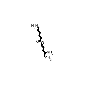 CCC(N)CCCOC(=O)CCCCCN